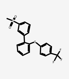 CS(=O)(=O)c1cccc(-c2ccccc2Sc2ccc(C(F)(F)F)cc2)c1